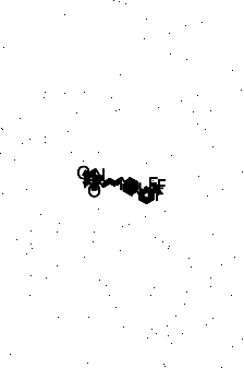 Cn1c(=O)cnn(CCCCN2CCN(c3cccc(C(F)(F)F)c3)CC2)c1=O